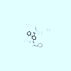 CCC(C)OC(OC(C)CC1CCCCC1)c1ccc(C(=O)N[C@@H](CCSC)C(=O)O)c(-c2ccccc2C)c1